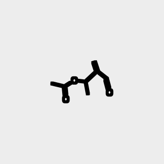 C=C(C=O)C(C)OC(C)=O